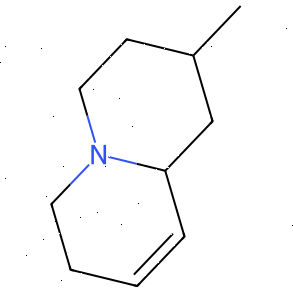 CC1CCN2CCC=CC2C1